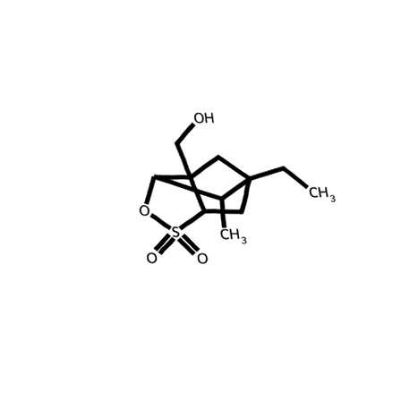 CCC12CC3C(CO)(C1)C(OS3(=O)=O)C2C